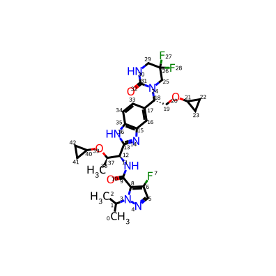 CC(C)n1ncc(F)c1C(=O)N[C@H](c1nc2cc([C@@H](COC3CC3)N3CC(F)(F)CNC3=O)ccc2[nH]1)[C@@H](C)OC1CC1